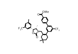 COC(=O)c1ccc(-c2cc(C3=C(CN4C(=O)O[C@H](c5cc(C)cc(C(F)(F)F)c5)[C@@H]4C)CC(C)(C)CC3)cc(C(F)(F)F)c2)cc1